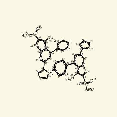 CCCCS(=O)(=O)c1sc2nc(-c3cccs3)cc(-c3ccc([SH]4C=CC=C4c4cc(-c5ccccc5)c5c(N)c([S+](C)[O-])sc5n4)cc3)c2c1N